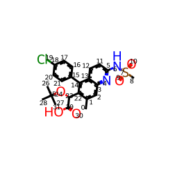 Cc1cc2nc(NS(C)(=O)=O)ccc2c(-c2ccc(Cl)cc2)c1[C@H](OC(C)(C)C)C(=O)O